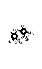 Cc1cc(N)c(S(=O)(=O)O)cc1N.Nc1cc(S(=O)(=O)O)c(N)cc1Cl